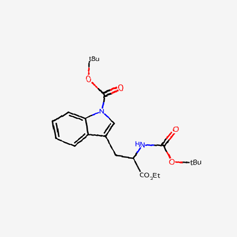 CCOC(=O)C(Cc1cn(C(=O)OC(C)(C)C)c2ccccc12)NC(=O)OC(C)(C)C